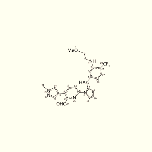 COCCNc1cc([AsH]c2ccnn2-c2ccc(-c3cnn(C)c3)c(C=O)n2)ncc1C(F)(F)F